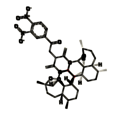 C=C(C[C@H]1OC2O[C@]3(C)CC[C@H]4[C@H](C)CC[C@@H]([C@H]1C)[C@@]24OO3)C(CC(=O)c1ccc([N+](=O)[O-])c([N+](=O)[O-])c1)C(=C)C[C@H]1O[C@@H]2C[C@]3(C)CC[C@H]4[C@H](C)CC[C@@H]([C@H]1C)[C@@]24OO3